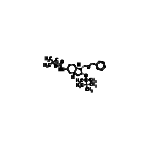 CC(C)(C)OC(=O)NC1CC[C@@H]2[C@@H](C1)C[C@@H](O[Si](C)(C)C(C)(C)C)[C@H]2COCc1ccccc1